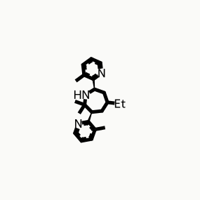 CCC1C[C@H](c2ncccc2C)NC(C)(C)[C@H](c2ncccc2C)C1